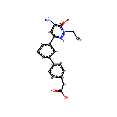 CCn1nc(-c2cccc(-c3ccc(CC(=O)O)cc3)c2)cc(N)c1=O